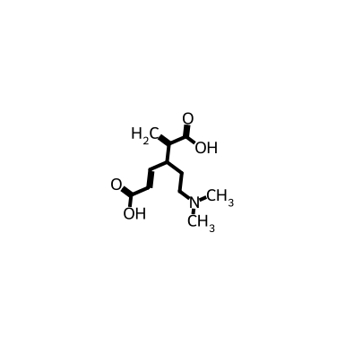 C=C(C(=O)O)C(C=CC(=O)O)CCN(C)C